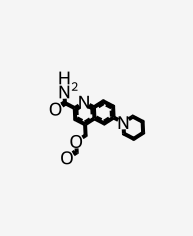 NC(=O)c1cc(COC=O)c2cc(N3CCCCC3)ccc2n1